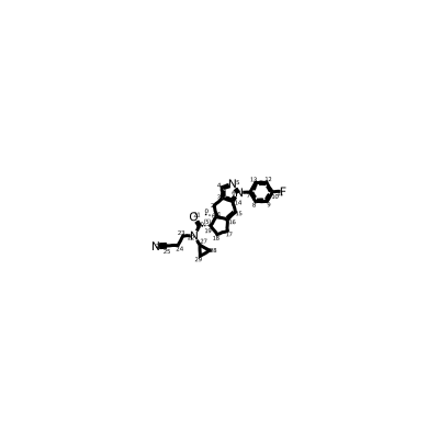 C[C@]12Cc3cnn(-c4ccc(F)cc4)c3C=C1CC[C@@H]2C(=O)N(CCC#N)C1CC1